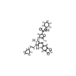 C[C@@H](NCC=Cc1ccccc1)[C@H](Cc1ccc(C(=O)Nc2ccccc2)o1)c1ccc2c(c1)OCO2